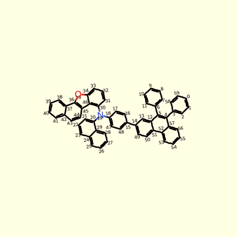 c1ccc(-c2c(-c3ccccc3)c3cc(-c4ccc(N(c5cccc6ccccc56)c5cccc6oc7c8ccccc8ccc7c56)cc4)ccc3c3ccccc23)cc1